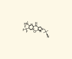 CNc1nc(Nc2cn(CC(C)(C)C#N)nc2Cl)ncc1C(F)(F)F